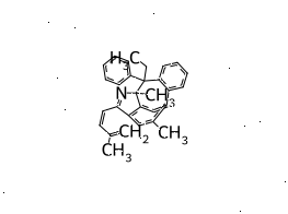 C=C(C)/C=C\C1=NC2(C)c3cc(c(C)cc31)-c1ccccc1C2(CC)c1ccccc1